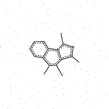 Cc1c(C)c2c(C)nc(C)n2c2ccccc12